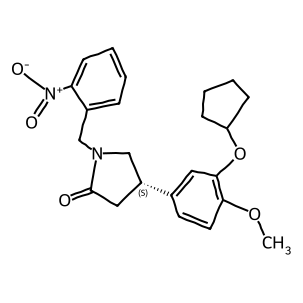 COc1ccc([C@@H]2CC(=O)N(Cc3ccccc3[N+](=O)[O-])C2)cc1OC1CCCC1